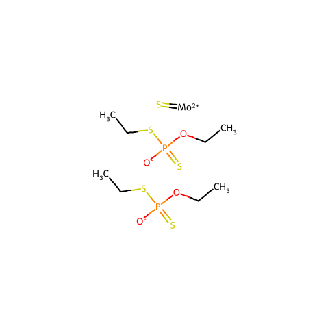 CCOP([O-])(=S)SCC.CCOP([O-])(=S)SCC.[S]=[Mo+2]